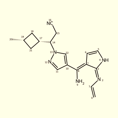 C=C/N=C1/NC=C/C1=C(/N)c1cnn(C(CC#N)[C@H]2C[C@@H](C)C2)c1